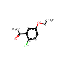 COC(=O)c1cc(OCC(=O)O)ccc1Cl